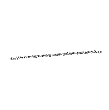 CCCCCCCCCCCCCCCCCCOCCOCCOCCOCCOCCOCCOCCOCCOCCOCCOCCOCCOCCOCCOCCOCCOCCOCCOCCOCCOS(=O)(=O)O